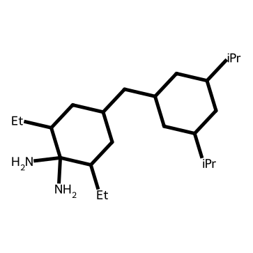 CCC1CC(CC2CC(C(C)C)CC(C(C)C)C2)CC(CC)C1(N)N